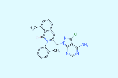 Cc1ccccc1-n1c(Cn2nc(Cl)c3c(N)ncnc32)cc2cccc(C)c2c1=O